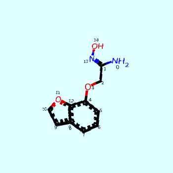 NC(COc1cccc2ccoc12)=NO